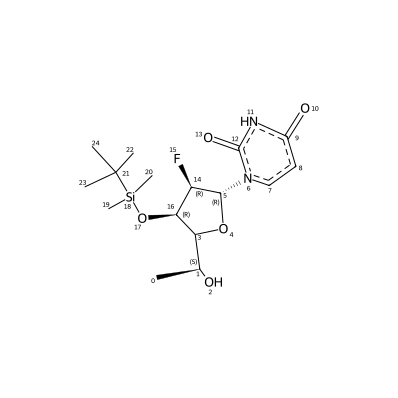 C[C@H](O)C1O[C@@H](n2ccc(=O)[nH]c2=O)[C@H](F)[C@@H]1O[Si](C)(C)C(C)(C)C